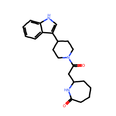 O=C1CCCCC(CC(=O)N2CCC(c3c[nH]c4ccccc34)CC2)N1